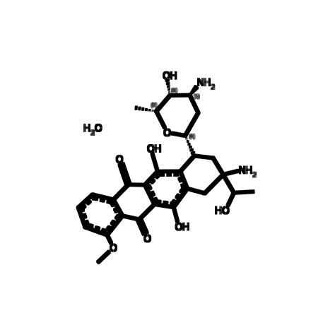 COc1cccc2c1C(=O)c1c(O)c3c(c(O)c1C2=O)C([C@H]1C[C@H](N)[C@@H](O)[C@@H](C)O1)CC(N)(C(C)O)C3.O